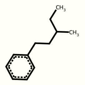 CC[C](C)CCc1ccccc1